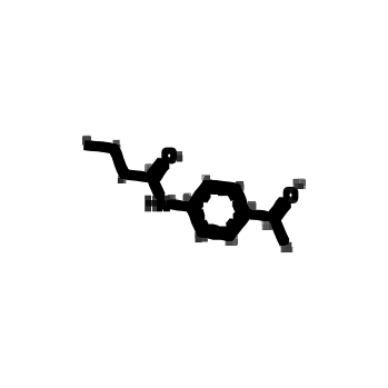 CCCC(=O)Nc1ccc(C(C)=O)cc1